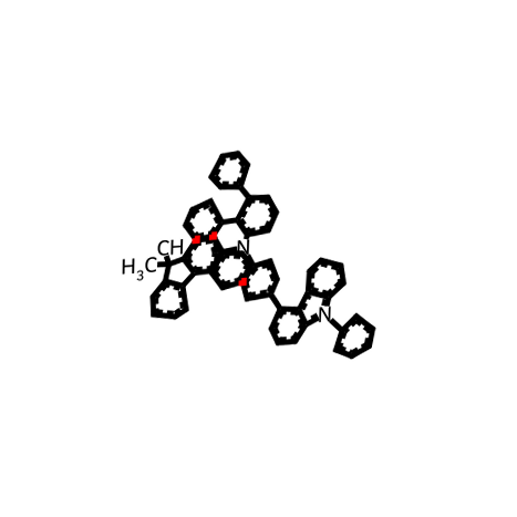 CC1(C)c2ccccc2-c2cc(N(c3ccc(-c4cccc5c4c4ccccc4n5-c4ccccc4)cc3)c3cccc(-c4ccccc4)c3-c3ccccc3-c3ccccc3)ccc21